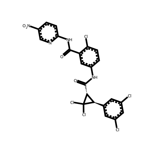 O=C(Nc1ccc([N+](=O)[O-])cn1)c1cc(NC(=O)[C@@H]2[C@@H](c3cc(Cl)cc(Cl)c3)C2(Cl)Cl)ccc1Cl